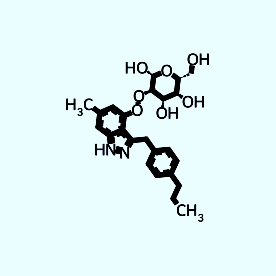 CCCc1ccc(Cc2n[nH]c3cc(C)cc(OO[C@@H]4[C@@H](O)[C@H](O)[C@@H](CO)O[C@H]4O)c23)cc1